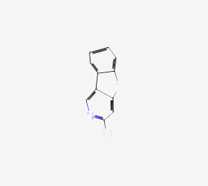 Clc1cc2sc3ccccc3c2cn1